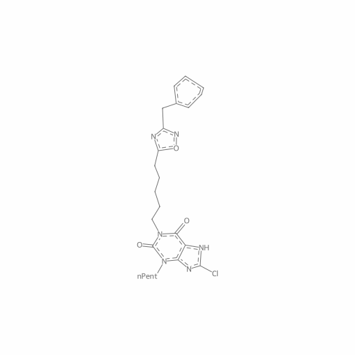 CCCCCn1c(=O)n(CCCCCc2nc(Cc3ccccc3)no2)c(=O)c2[nH]c(Cl)nc21